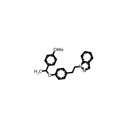 COc1ccc(C(C)Oc2ccc(CCn3ncc4ccccc43)cc2)cc1